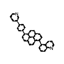 c1cncc(-c2ccc(-c3ccc4ccc5c(-c6cccc7ncccc67)ccc6ccc3c4c65)cc2)c1